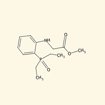 CCP(=O)(CC)c1ccccc1NCC(=O)OC